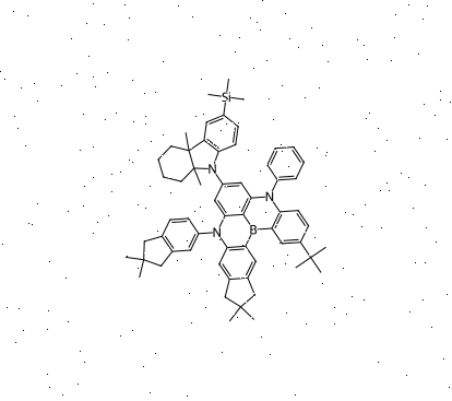 CC1(C)Cc2ccc(N3c4cc5c(cc4B4c6cc(C(C)(C)C)ccc6N(c6ccccc6)c6cc(N7c8ccc([Si](C)(C)C)cc8C8(C)CCCCC78C)cc3c64)CC(C)(C)C5)cc2C1